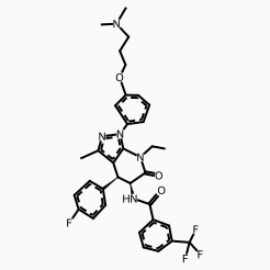 CCN1C(=O)[C@@H](NC(=O)c2cccc(C(F)(F)F)c2)[C@@H](c2ccc(F)cc2)c2c(C)nn(-c3cccc(OCCCN(C)C)c3)c21